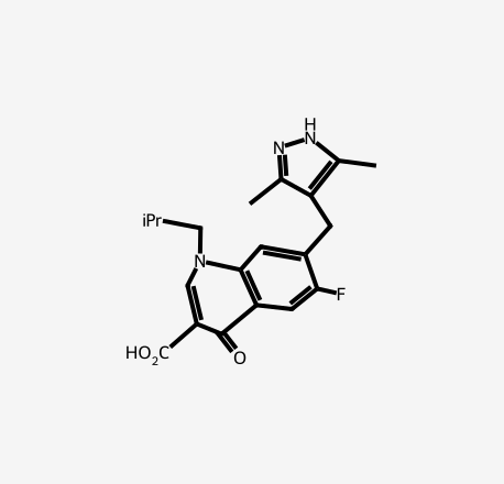 Cc1n[nH]c(C)c1Cc1cc2c(cc1F)c(=O)c(C(=O)O)cn2CC(C)C